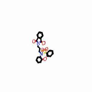 O=C1c2ccccc2C(=O)N1CCCN1c2ccccc2Oc2ccccc2S1(=O)=O